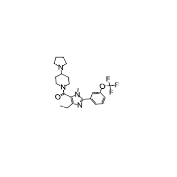 CCc1nc(-c2cccc(OC(F)(F)F)c2)n(C)c1C(=O)N1CCC(N2CCCC2)CC1